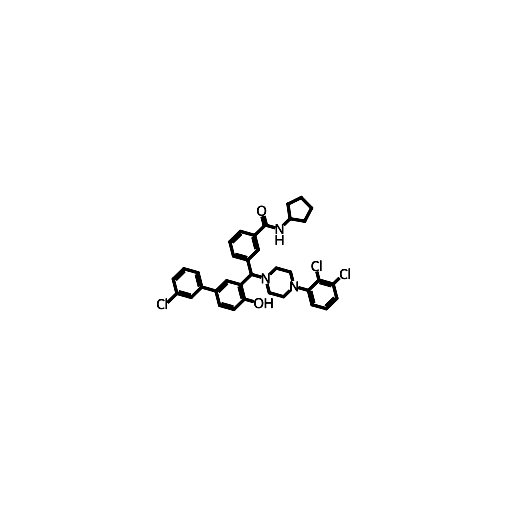 O=C(NC1CCCC1)c1cccc(C(c2cc(-c3cccc(Cl)c3)ccc2O)N2CCN(c3cccc(Cl)c3Cl)CC2)c1